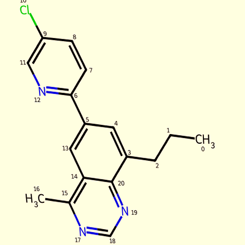 CCCc1cc(-c2ccc(Cl)cn2)cc2c(C)ncnc12